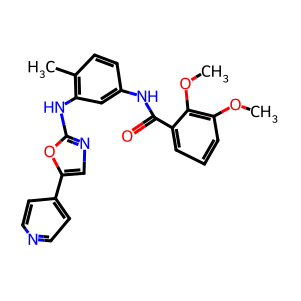 COc1cccc(C(=O)Nc2ccc(C)c(Nc3ncc(-c4ccncc4)o3)c2)c1OC